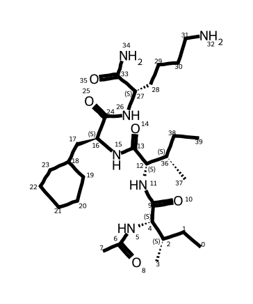 CC[C@H](C)[C@H](NC(C)=O)C(=O)N[C@H](C(=O)N[C@@H](CC1CCCCC1)C(=O)N[C@@H](CCCCN)C(N)=O)[C@@H](C)CC